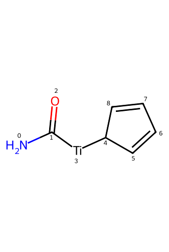 N[C](=O)[Ti][CH]1C=CC=C1